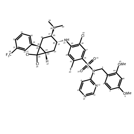 COc1ccc(CN(c2ccncn2)S(=O)(=O)c2cc(Cl)c(N[C@@H]3C[C@@H]4C(Cl)(Cl)[C@]4(c4cccc(C(F)(F)F)c4)C[C@H]3N(C)C)cc2F)c(OC)c1